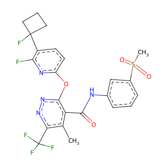 Cc1c(C(F)(F)F)nnc(Oc2ccc(C3(F)CCC3)c(F)n2)c1C(=O)Nc1cccc(S(C)(=O)=O)c1